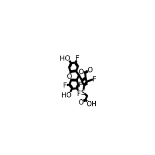 O=C(O)CSc1cc(F)c2c(c1F)C1(OC2=O)c2cc(F)c(O)cc2Oc2c1cc(F)c(O)c2F